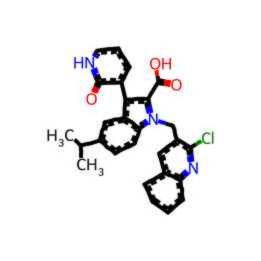 CC(C)c1ccc2c(c1)c(-c1ccc[nH]c1=O)c(C(=O)O)n2Cc1cc2ccccc2nc1Cl